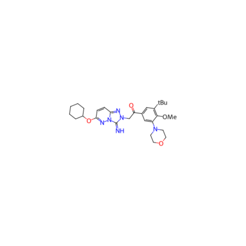 COc1c(N2CCOCC2)cc(C(=O)Cn2nc3ccc(OC4CCCCC4)nn3c2=N)cc1C(C)(C)C